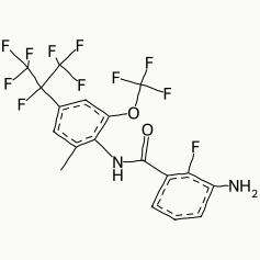 Cc1cc(C(F)(C(F)(F)F)C(F)(F)F)cc(OC(F)(F)F)c1NC(=O)c1cccc(N)c1F